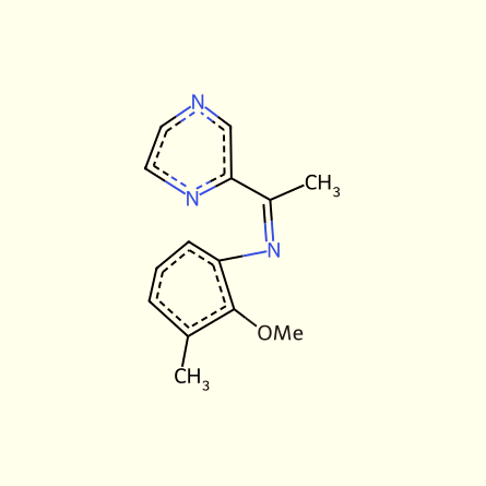 COc1c(C)cccc1N=C(C)c1cnccn1